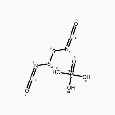 O=C=NSSN=C=O.O=P(O)(O)O